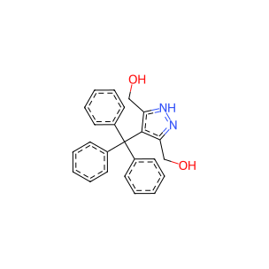 OCc1n[nH]c(CO)c1C(c1ccccc1)(c1ccccc1)c1ccccc1